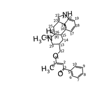 CC(=CC(=O)c1ccccc1)OCC1CC2c3cccc4[nH]cc(c34)C[C@H]2N(C)C1